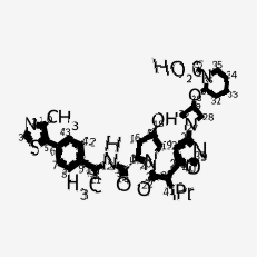 Cc1ncsc1-c1ccc([C@H](C)NC(=O)[C@@H]2C[C@@H](O)CN2C(=O)C(c2cc(N3CC(OC4CCCCN4C(=O)O)C3)no2)C(C)C)cc1